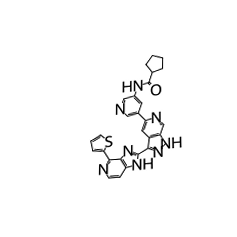 O=C(Nc1cncc(-c2cc3c(-c4nc5c(-c6cccs6)nccc5[nH]4)n[nH]c3cn2)c1)C1CCCC1